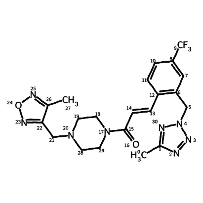 Cc1nnn(Cc2cc(C(F)(F)F)ccc2C=CC(=O)N2CCN(Cc3nonc3C)CC2)n1